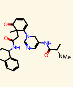 CN[C@@H](C)C(=O)NC1=CN=CN(C2=CC=CC(=O)C2(C)CC(=O)N[C@@H]2CCCc3ccccc32)C1